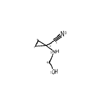 N#CC1(NCO)CC1